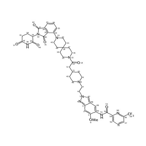 COc1cc2nn(CCN3CCC(CC(=O)N4CCC5(CC4)CCN(c4cccc6c4C(=O)N(C4CCC(=O)NC4=O)C6=O)CC5)CC3)cc2cc1NC(=O)c1cccc(C(F)(F)F)n1